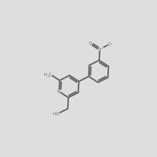 Cc1cc(-c2cccc([N+](=O)[O-])c2)cc(CO)n1